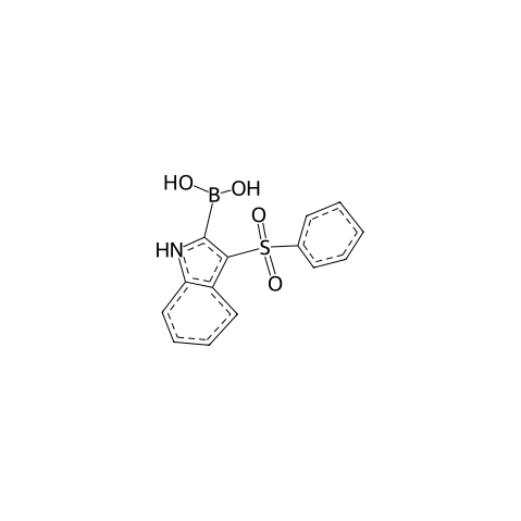 O=S(=O)(c1ccccc1)c1c(B(O)O)[nH]c2ccccc12